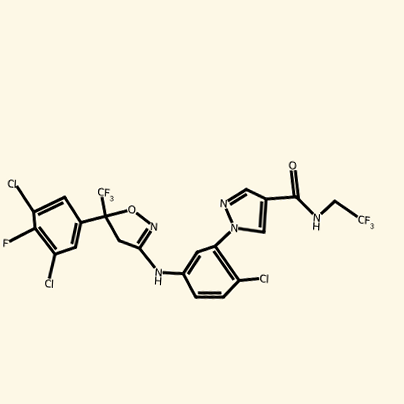 O=C(NCC(F)(F)F)c1cnn(-c2cc(NC3=NOC(c4cc(Cl)c(F)c(Cl)c4)(C(F)(F)F)C3)ccc2Cl)c1